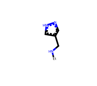 CCNCc1cn[nH]c1